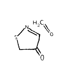 C=O.O=C1C=NSC1